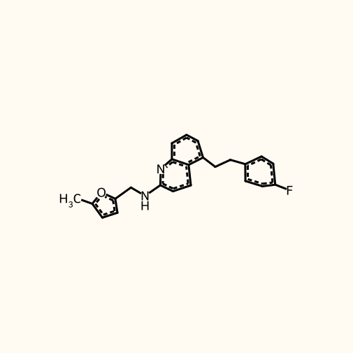 Cc1ccc(CNc2ccc3c(CCc4ccc(F)cc4)cccc3n2)o1